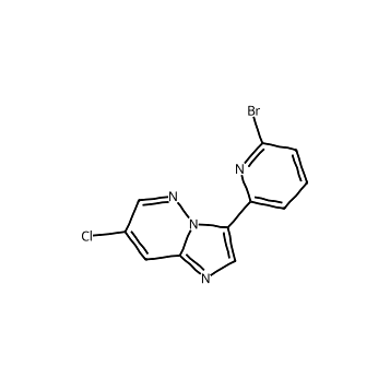 Clc1cnn2c(-c3cccc(Br)n3)cnc2c1